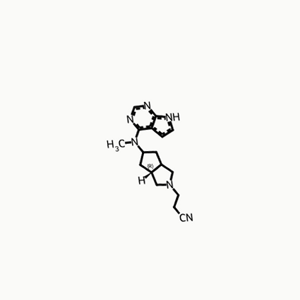 CN(c1ncnc2[nH]ccc12)C1CC2CN(CCC#N)C[C@@H]2C1